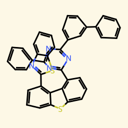 c1ccc(-c2cccc(-c3nc(-c4ccccc4)nc(-c4cccc5sc6cccc(-c7nc8ccccc8s7)c6c45)n3)c2)cc1